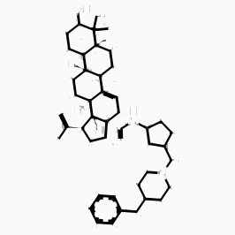 C=C(C)[C@@H]1CC[C@]2(C(=O)NC3CCC(CN4CCC(Cc5ccccc5)CC4)C3)CC=C3[C@H](CC[C@@H]4[C@@]5(C)CCC(O)C(C)(C)[C@@H]5CC[C@@]34C)[C@@H]12